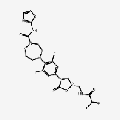 O=C(NC[C@H]1CN(c2cc(F)c(N3CCON(C(=O)Nc4ncco4)CC3)c(F)c2)C(=O)O1)C(F)F